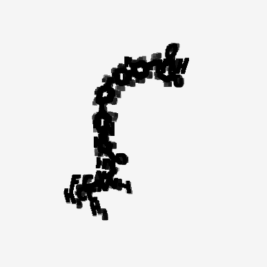 CC(C)(c1n[nH]c(CNC(=O)c2cnn(-c3ncc(-c4ccc(CN5CCN(c6ccc(CN7CCC(=O)NC7=O)cc6F)CC5)cc4)cn3)c2)n1)C(F)(F)F